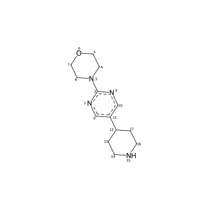 c1nc(N2CCOCC2)ncc1C1CCNCC1